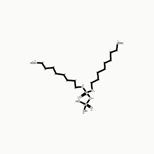 CCCCCCCCCCCCCCCCCCOP(=O)(OCCCCCCCCCCCCCCCCCC)OP(=O)(O)O